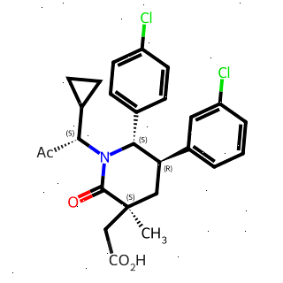 CC(=O)[C@H](C1CC1)N1C(=O)[C@](C)(CC(=O)O)C[C@H](c2cccc(Cl)c2)[C@H]1c1ccc(Cl)cc1